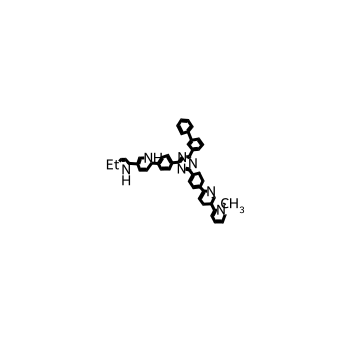 CC/C=C\C(=N)C1=CNC(c2ccc(-c3nc(C4=CC=C(C5=CCC(C6=CC=CCN6C)C=N5)CC4)nc(-c4cccc(-c5ccccc5)c4)n3)cc2)C=C1